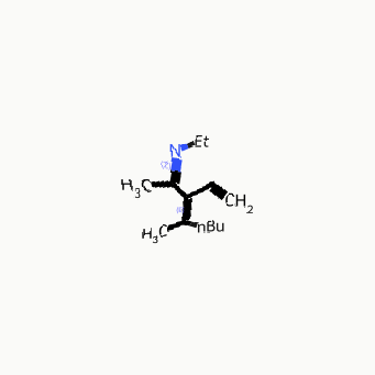 C=CC(/C(C)=N\CC)=C(/C)CCCC